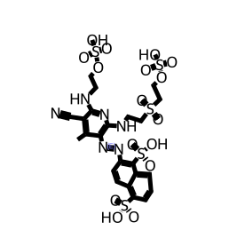 Cc1c(C#N)c(NCCOS(=O)(=O)O)nc(NCCS(=O)(=O)CCOS(=O)(=O)O)c1/N=N/c1ccc2c(S(=O)(=O)O)cccc2c1S(=O)(=O)O